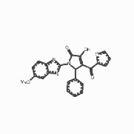 COc1ccc2nc(N3C(=O)C(O)=C(C(=O)c4ccco4)C3c3ccccc3)sc2c1